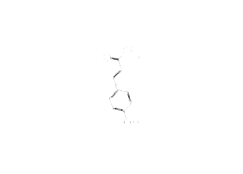 O=C(C=Cc1ccc(O)cc1)C(F)(F)F